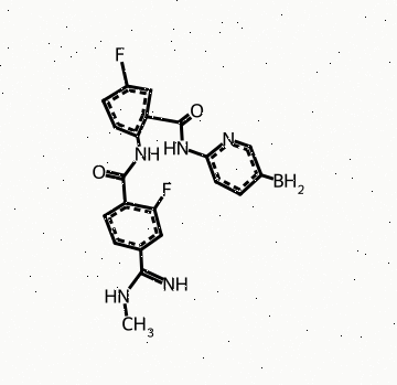 Bc1ccc(NC(=O)c2cc(F)ccc2NC(=O)c2ccc(C(=N)NC)cc2F)nc1